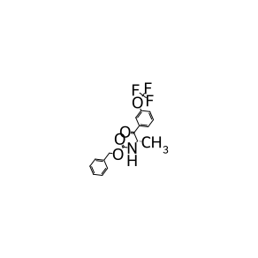 C[C@H](NC(=O)OCc1ccccc1)C(=O)c1cccc(OC(F)(F)F)c1